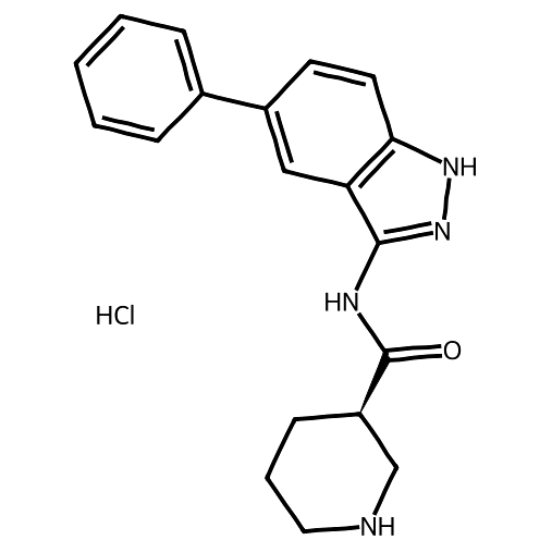 Cl.O=C(Nc1n[nH]c2ccc(-c3ccccc3)cc12)[C@@H]1CCCNC1